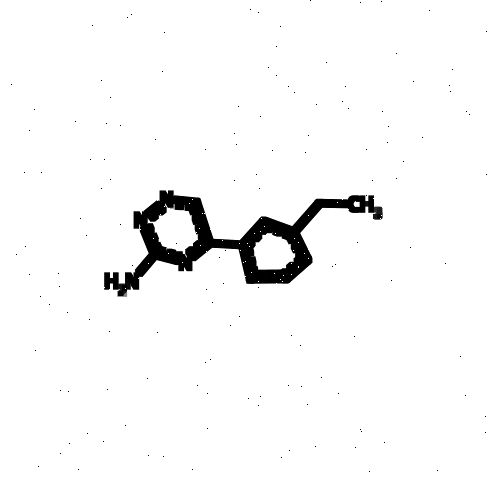 CCc1cccc(-c2cnnc(N)n2)c1